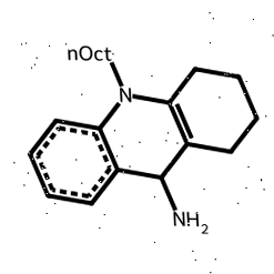 CCCCCCCCN1C2=C(CCCC2)C(N)c2ccccc21